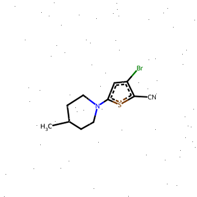 CC1CCN(c2cc(Br)c(C#N)s2)CC1